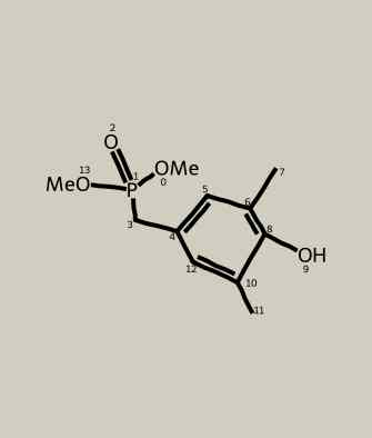 COP(=O)(Cc1cc(C)c(O)c(C)c1)OC